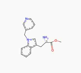 COC(=O)[C@@H](N)Cc1cn(Cc2cccnc2)c2ccccc12